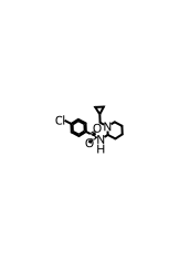 O=S(=O)(NC1CCCCN1CC1CC1)c1ccc(Cl)cc1